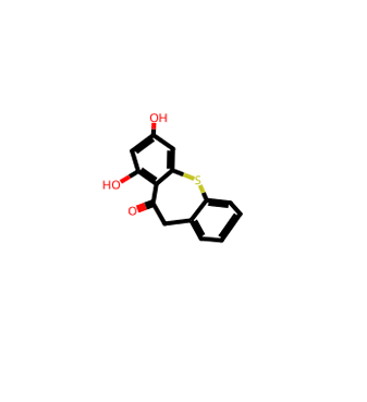 O=C1Cc2ccccc2Sc2cc(O)cc(O)c21